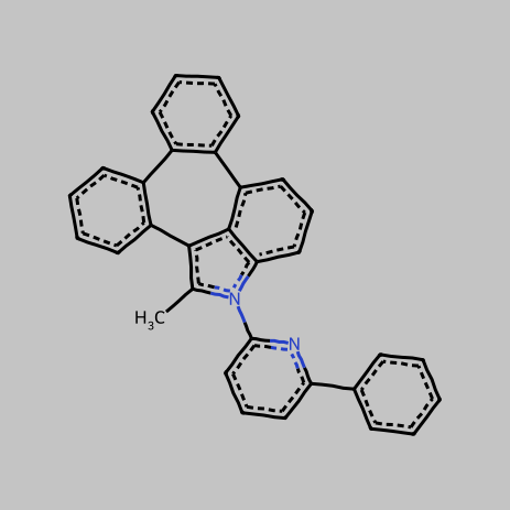 Cc1c2c3c(cccc3n1-c1cccc(-c3ccccc3)n1)-c1ccccc1-c1ccccc1-2